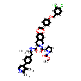 Cc1nccc(-c2ccc(C[C@H](NC(=O)[C@@H]3Cc4cc5c(cc4CN3C(=O)[C@@H]3CCCN3C(=O)OC(C)(C)C)O[C@@H](c3ccc(OCc4ccc(Cl)c(Cl)c4)cc3)CO5)C(=O)O)cc2)c1C